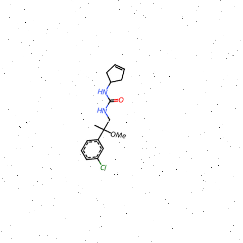 COC(C)(CNC(=O)NC1CC=CC1)c1cccc(Cl)c1